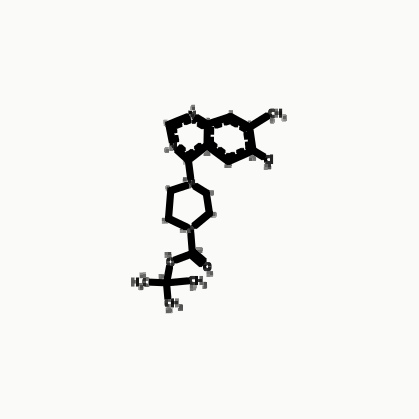 Cc1cc2ncnc(N3CCN(C(=O)OC(C)(C)C)CC3)c2cc1Cl